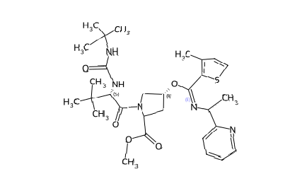 COC(=O)C1C[C@@H](O/C(=N/C(C)c2ccccn2)c2sccc2C)CN1C(=O)[C@@H](NC(=O)NC(C)(C)C)C(C)(C)C